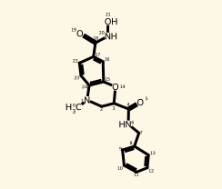 CN1CC(C(=O)NCc2ccccc2)Oc2cc(C(=O)NO)ccc21